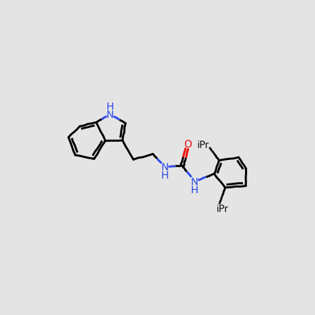 CC(C)c1cccc(C(C)C)c1NC(=O)NCCc1c[nH]c2ccccc12